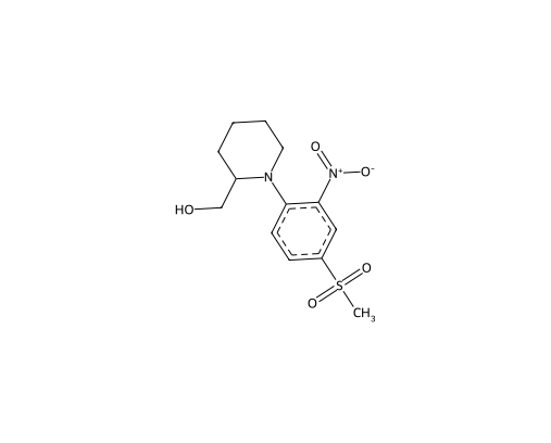 CS(=O)(=O)c1ccc(N2CCCCC2CO)c([N+](=O)[O-])c1